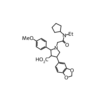 CCN(C(=O)CN1CC(c2ccc3c(c2)OCO3)C(C(=O)O)C1c1ccc(OC)cc1)C1CCCC1